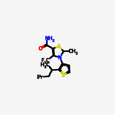 CC(C)CC(C)c1sccc1N1C(C(F)(F)F)=C(C(N)=O)SC1C